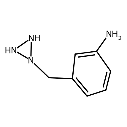 Nc1cccc(Cn2[nH][nH]2)c1